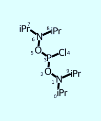 CC(C)N(OP(Cl)ON(C(C)C)C(C)C)C(C)C